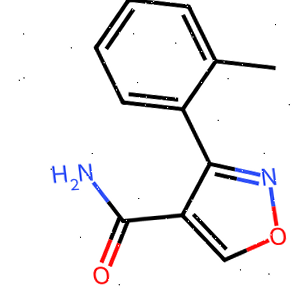 Cc1ccccc1-c1nocc1C(N)=O